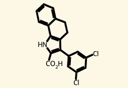 O=C(O)c1[nH]c2c(c1-c1cc(Cl)cc(Cl)c1)CCc1ccccc1-2